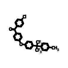 Cc1ccc(C(c2ccc(Oc3ccc(C(=O)c4ccc(Cl)cc4)cc3)cc2)(C(F)(F)F)C(F)(F)F)cc1